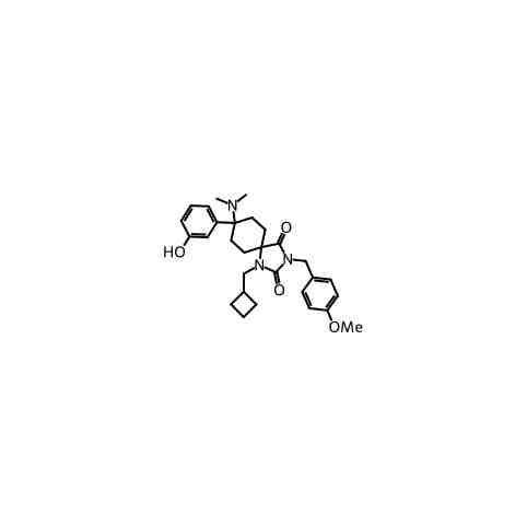 COc1ccc(CN2C(=O)N(CC3CCC3)C3(CCC(c4cccc(O)c4)(N(C)C)CC3)C2=O)cc1